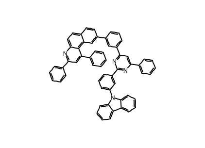 c1ccc(-c2cc(-c3cccc(-c4ccc5ccc6nc(-c7ccccc7)cc(-c7ccccc7)c6c5c4)c3)nc(-c3cccc(-n4c5ccccc5c5ccccc54)c3)n2)cc1